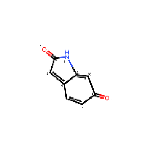 O=C1C=CC2=CC(=O)NC2=C1